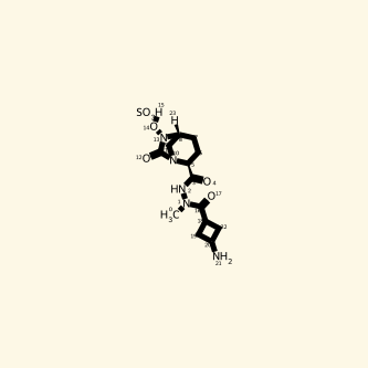 CN(NC(=O)[C@@H]1CC[C@@H]2CN1C(=O)N2OS(=O)(=O)O)C(=O)C1CC(N)C1